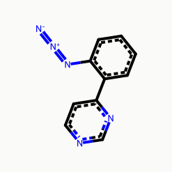 [N-]=[N+]=Nc1ccccc1-c1ccncn1